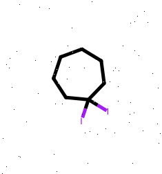 IC1(I)CCCCCC1